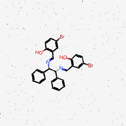 Oc1ccc(Br)cc1C=N[C@H](c1ccccc1)[C@H](N=Cc1cc(Br)ccc1O)c1ccccc1